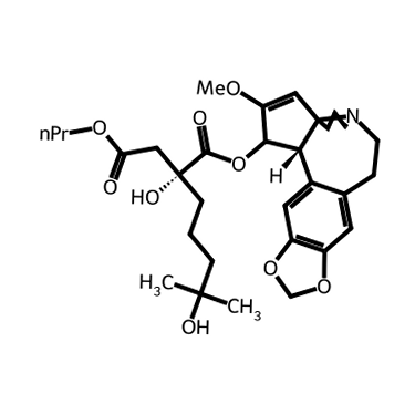 CCCOC(=O)C[C@](O)(CCCC(C)(C)O)C(=O)OC1C(OC)=CC23CCCN2CCc2cc4c(cc2[C@H]13)OCO4